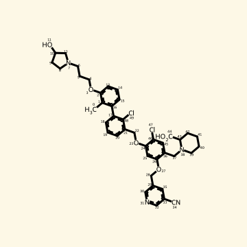 Cc1c(OCCCN2CCC(O)C2)cccc1-c1cccc(COc2cc(OCc3cncc(C#N)c3)c(CN3CCCCC3C(=O)O)cc2Cl)c1Cl